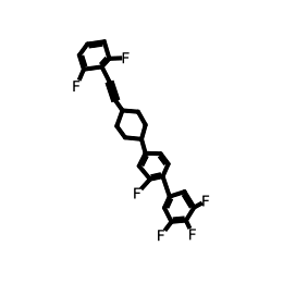 Fc1cc(C2CCC(C#Cc3c(F)cccc3F)CC2)ccc1-c1cc(F)c(F)c(F)c1